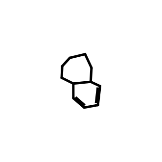 C1=CC2CCCCCC2C=C1